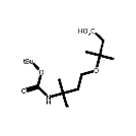 CC(C)(CCOC(C)(C)CC(=O)O)NC(=O)OC(C)(C)C